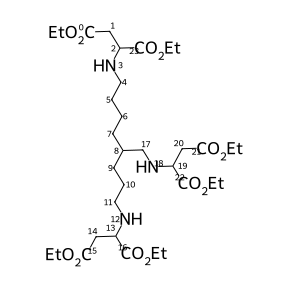 CCOC(=O)CC(NCCCCC(CCCNC(CC(=O)OCC)C(=O)OCC)CNC(CC(=O)OCC)C(=O)OCC)C(=O)OCC